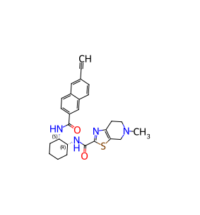 C#Cc1ccc2cc(C(=O)N[C@H]3CCCC[C@H]3NC(=O)c3nc4c(s3)CN(C)CC4)ccc2c1